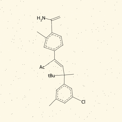 C=C(N)c1ccc(/C(=C/C(C)(c2cc(C)cc(Cl)c2)C(C)(C)C)C(C)=O)cc1C